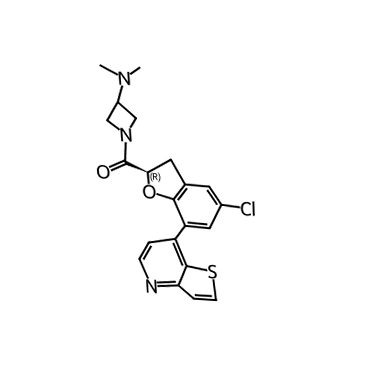 CN(C)C1CN(C(=O)[C@H]2Cc3cc(Cl)cc(-c4ccnc5ccsc45)c3O2)C1